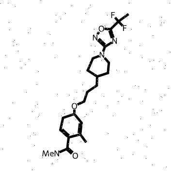 CNC(=O)C1=CCC(OCCCC2CCN(c3noc(C(C)(F)F)n3)CC2)C=C1C